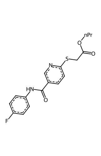 CCCOC(=O)CSc1ccc(C(=O)Nc2ccc(F)cc2)cn1